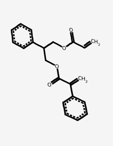 C=CC(=O)OCC(COC(=O)C(=C)c1ccccc1)c1ccccc1